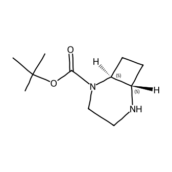 CC(C)(C)OC(=O)N1CCN[C@H]2CC[C@@H]21